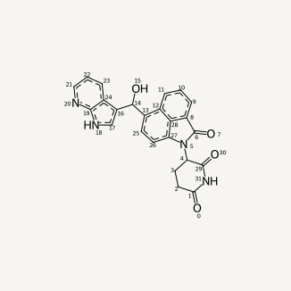 O=C1CCC(N2C(=O)c3cccc4c(C(O)c5c[nH]c6ncccc56)ccc2c34)C(=O)N1